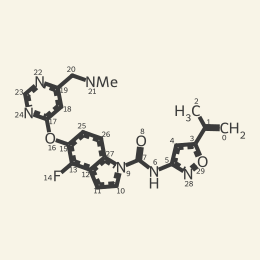 C=C(C)c1cc(NC(=O)n2ccc3c(F)c(Oc4cc(CNC)ncn4)ccc32)no1